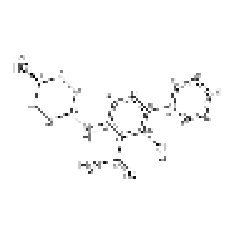 NC(=O)c1c(N[C@H]2CC[C@H](O)CC2)ccc(-c2ccccc2)c1Cl